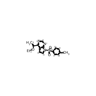 C=C(OCC)c1ncnc2c1ccn2S(=O)(=O)c1ccc(C)cc1